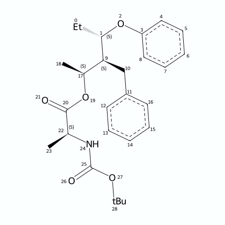 CC[C@H](Oc1ccccc1)[C@@H](Cc1ccccc1)[C@H](C)OC(=O)[C@H](C)NC(=O)OC(C)(C)C